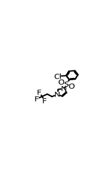 O=S(=O)(c1ccccc1Cl)N1C=CN(CCC(F)(F)F)C1